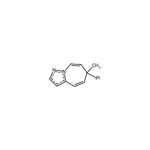 CC(C)C1(C)C=Cc2ccnn2C=C1